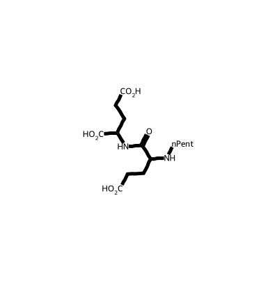 CCCCCNC(CCC(=O)O)C(=O)NC(CCC(=O)O)C(=O)O